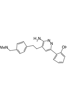 CNCc1ccc(CCc2cc(-c3ccccc3O)nnc2N)cc1